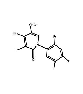 CCc1c(C=O)cn(-c2cc(I)c(F)cc2Br)c(=O)c1CC